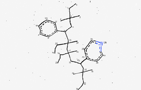 CCC(C)(C)CC(c1ccccc1)C(C)(CC)C(C)(CC)CC(c1ccncc1)C(C)(C)CC